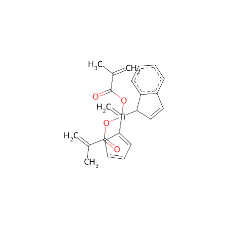 C=C(C)C(=O)[O][Ti](=[CH2])([O]C(=O)C(=C)C)([C]1=CC=CC1)[CH]1C=Cc2ccccc21